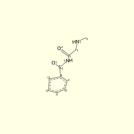 CNCC(=O)N[S+]([O-])c1ccccc1